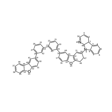 C1=CC2c3ccccc3N(C3=Cc4c(oc5ccc(-c6cccc(-c7cccc(-c8ccc9oc%10ccccc%10c9c8)c7)c6)cc45)CC3)C2N=C1